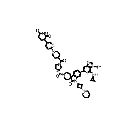 CC(C)n1cnc2cc(-c3ccc4c(c3)N([C@H]3C[C@@H](N5CCCCC5)C3)C(=O)C43CCN(C(=O)[C@@H]4CCN(C(=O)C5CCN(c6ccc(C7CCC(=O)NC7=O)cn6)CC5)C4)CC3)nc(NC3CC3)c21